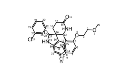 COCCOc1ccc(F)c(F)c1[C@@H]1NC(=O)C[C@@H](c2cccc(Cl)c2)[C@]12C(=O)Nc1cc(Cl)ccc12